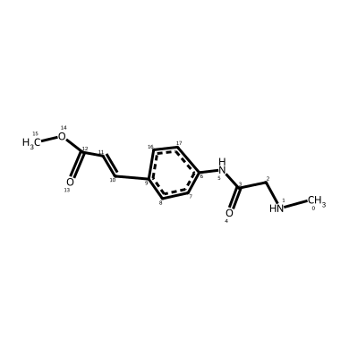 CNCC(=O)Nc1ccc(/C=C/C(=O)OC)cc1